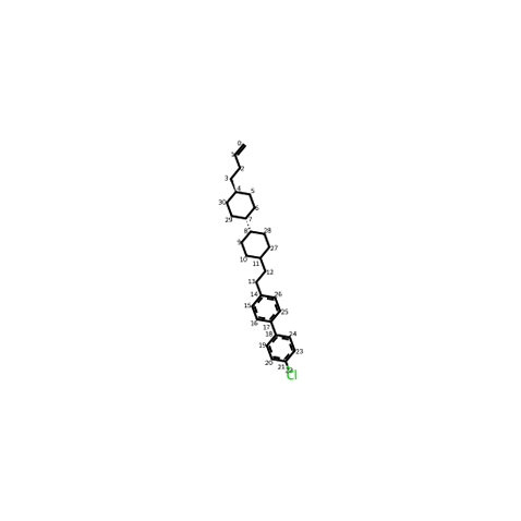 C=CCC[C@H]1CC[C@H](C2CCC(CCc3ccc(-c4ccc(Cl)cc4)cc3)CC2)CC1